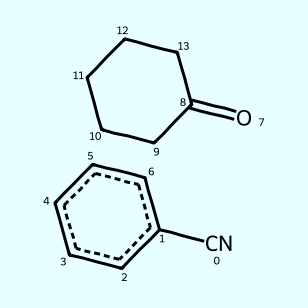 N#Cc1ccccc1.O=C1CCCCC1